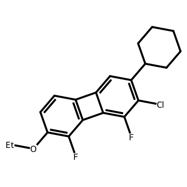 CCOc1ccc2c(c1F)-c1c-2cc(C2CCCCC2)c(Cl)c1F